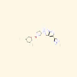 CC1CC(C)CC(OC(=O)N2CC[C@@H](NC(=O)c3cc(-c4cnn(C)c4)cnc3N)C2)C1